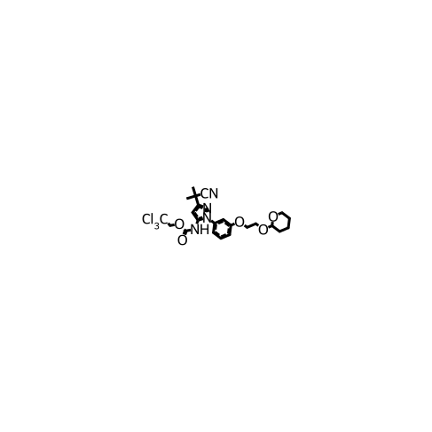 CC(C)(C#N)c1cc(NC(=O)OCC(Cl)(Cl)Cl)n(-c2cccc(OCCOC3CCCCO3)c2)n1